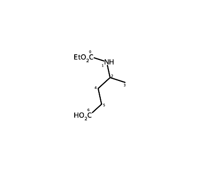 CCOC(=O)NC(C)CCC(=O)O